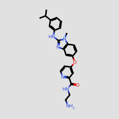 CC(C)c1cccc(Nc2nc3cc(Oc4ccnc(C(=O)NCCN)c4)ccc3n2C)c1